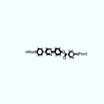 CCCCCCCCC[C@H]1CC[C@H](c2cnc(-c3ccc(OC(=O)[C@H]4CS[C@H](CCCCC)SC4)cc3)nc2)CC1